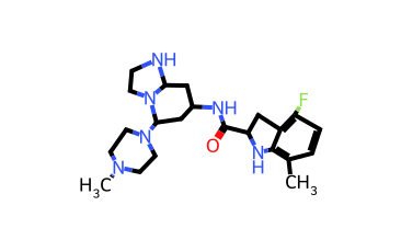 Cc1ccc(F)c2c1NC(C(=O)NC1CC3NCCN3C(N3CCN(C)CC3)C1)C2